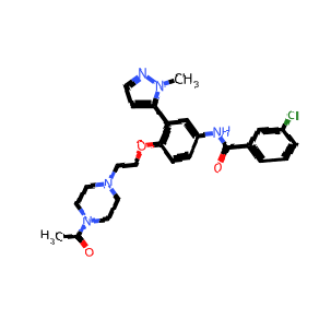 CC(=O)N1CCN(CCOc2ccc(NC(=O)c3cccc(Cl)c3)cc2-c2ccnn2C)CC1